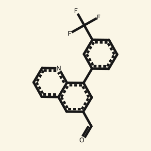 O=Cc1cc(-c2cccc(C(F)(F)F)c2)c2ncccc2c1